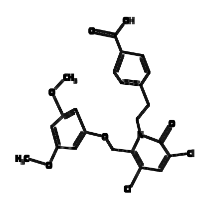 COc1cc(OC)cc(OCc2c(Cl)cc(Cl)c(=O)n2CCc2ccc(C(=O)O)cc2)c1